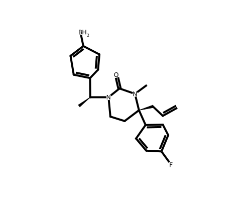 Bc1ccc([C@H](C)N2CC[C@@](CC=C)(c3ccc(F)cc3)N(C)C2=O)cc1